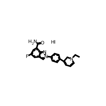 CCN1C=CC=C(c2ccc(-n3cc4cc(F)cc(C(N)=O)c4n3)cc2)C1.I